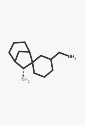 NCC1CCCC2(C1)C1CCCC(C1)[C@H]2N